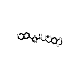 N[C@H](CNc1ncc(-c2ccc3cnccc3c2)s1)Cc1ccc2c(c1)OCCO2